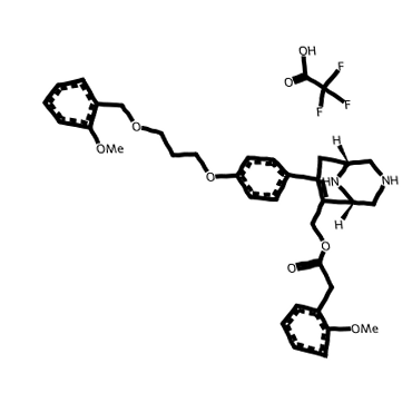 COc1ccccc1COCCCOc1ccc(C2=C(COC(=O)Cc3ccccc3OC)[C@H]3CNC[C@@H](C2)N3)cc1.O=C(O)C(F)(F)F